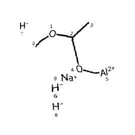 COC(C)[O][Al+2].[H-].[H-].[H-].[Na+]